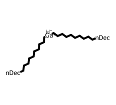 CCCCCCCCCCCCCCCCCCC[CH2][Ga+][CH2]CCCCCCCCCCCCCCCCCCC.[H-]